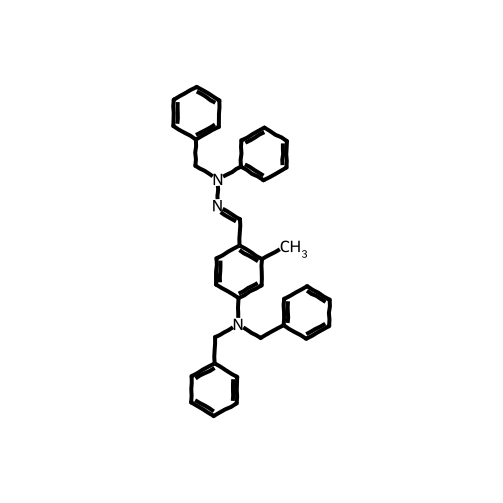 Cc1cc(N(Cc2ccccc2)Cc2ccccc2)ccc1C=NN(Cc1ccccc1)c1ccccc1